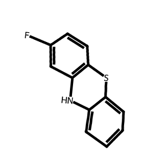 Fc1ccc2c(c1)Nc1ccccc1S2